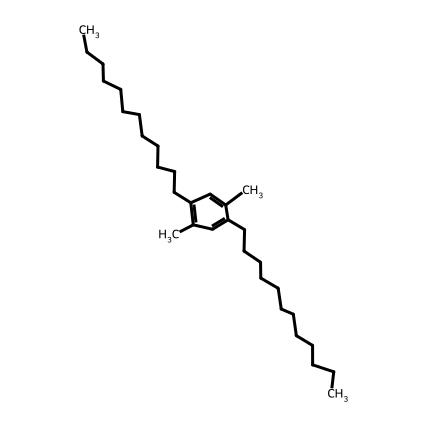 CCCCCCCCCCCCc1cc(C)c(CCCCCCCCCCCC)cc1C